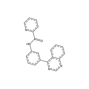 O=C(Nc1cccc(-c2ncnc3ccccc23)c1)c1ccccn1